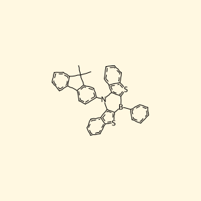 CC1(C)c2ccccc2-c2ccc(N3c4c(sc5ccccc45)B(c4ccccc4)c4sc5ccccc5c43)cc21